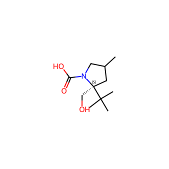 CC1CN(C(=O)O)[C@](CO)(C(C)(C)C)C1